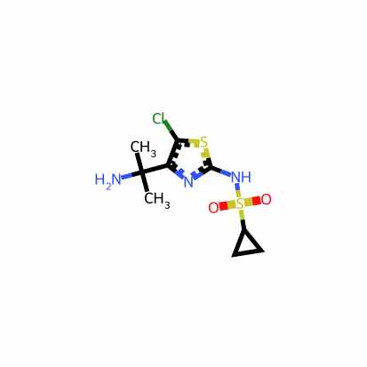 CC(C)(N)c1nc(NS(=O)(=O)C2CC2)sc1Cl